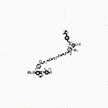 COc1cc2ncnc(Nc3ccc(Cl)c(Cl)c3F)c2cc1OC1CCN(C(=O)CCOCCOCCOCCOCCOCCC(=O)N[C@H](C(=O)N2C[C@H](O)C[C@H]2C(=O)NCc2ccc(-c3scnc3C)cc2)C(C)(C)C)CC1